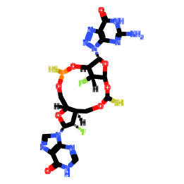 Nc1nc2c(nnn2[C@@H]2OC3OC(S)OC[C@H]4[C@H](F)[C@H](n5cnc6c(=O)[nH]cnc65)O[C@@H]4COP(S)O[C@@H]2[C@H]3F)c(=O)[nH]1